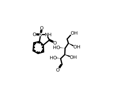 O=C1NS(=O)(=O)c2ccccc21.O=C[C@H](O)[C@H](O)[C@H](O)[C@H](O)CO